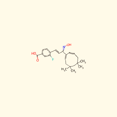 CC1(C)C\C=C/C(C(/C=C/c2ccc(C(=O)O)cc2F)=N\O)=C\CC(C)(C)C1